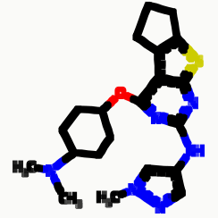 CN(C)C1CCC(Oc2nc(Nc3cnn(C)c3)nc3sc4c(c23)CCC4)CC1